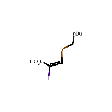 CCCCCS/C=C(/I)C(=O)O